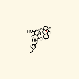 CCn1cc(CNC(=O)c2nn(CC3(CC4CC=CC=C4C(F)(F)F)CCCC3)cc(O)c2=O)cn1